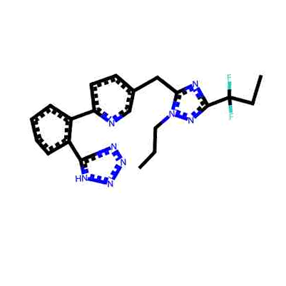 CCCn1nc(C(F)(F)CC)nc1Cc1ccc(-c2ccccc2-c2nnn[nH]2)nc1